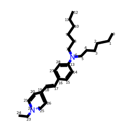 CCCCCCN(CCCCCC)c1ccc(/C=C/c2cc[n+](CC)cc2)cc1